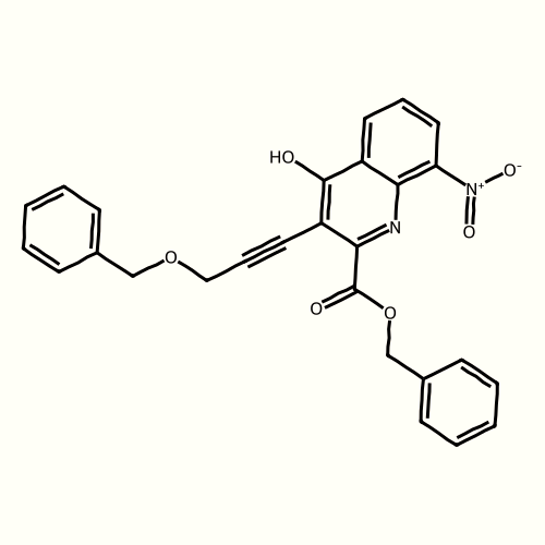 O=C(OCc1ccccc1)c1nc2c([N+](=O)[O-])cccc2c(O)c1C#CCOCc1ccccc1